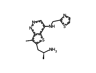 Cc1c(C[C@H](C)N)sc2c(NCc3nccs3)cnnc12